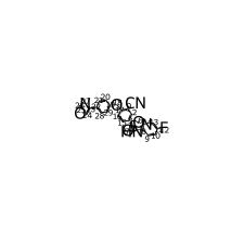 N#Cc1cc(S(=O)(=O)Nc2ccc(F)cn2)ccc1Oc1ccc(-c2cocn2)cc1